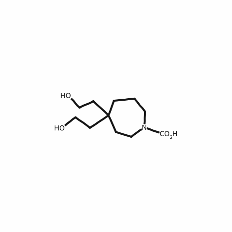 O=C(O)N1CCCC(CCO)(CCO)CC1